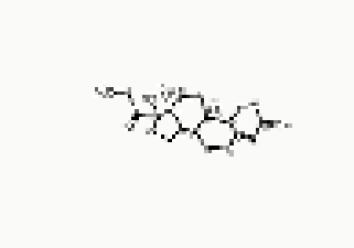 CC(=O)OCC(=O)[C@@]1(O)CCC2C3CCC4=CC(=O)CC[C@]4(C)C3CC[C@@]21C